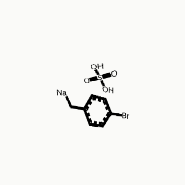 O=S(=O)(O)O.[Na][CH2]c1ccc(Br)cc1